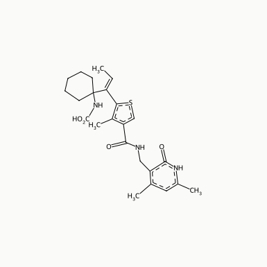 C/C=C(/c1scc(C(=O)NCc2c(C)cc(C)[nH]c2=O)c1C)C1(NC(=O)O)CCCCC1